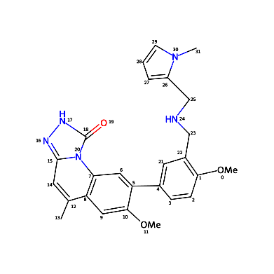 COc1ccc(-c2cc3c(cc2OC)c(C)cc2n[nH]c(=O)n23)cc1CNCc1cccn1C